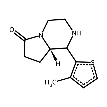 Cc1ccsc1C1NCCN2C(=O)CC[C@@H]12